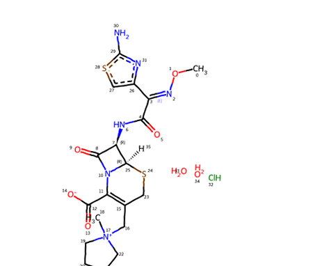 CO/N=C(/C(=O)N[C@@H]1C(=O)N2C(C(=O)[O-])=C(C[N+]3(C)CCCC3)CS[C@H]12)c1csc(N)n1.Cl.O.O